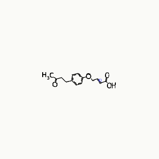 CC(=O)CCc1ccc(OC/C=C/C(=O)O)cc1